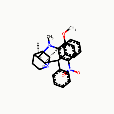 COc1ccc([N+](=O)[O-])cc1N(C)[C@@H]1C2CCN(CC2)[C@@H]1C(c1ccccc1)c1ccccc1